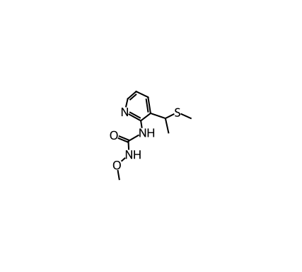 CONC(=O)Nc1ncccc1C(C)SC